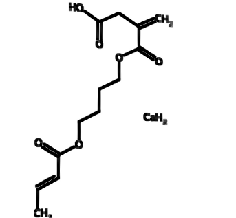 C=C(CC(=O)O)C(=O)OCCCCOC(=O)C=CC.[CaH2]